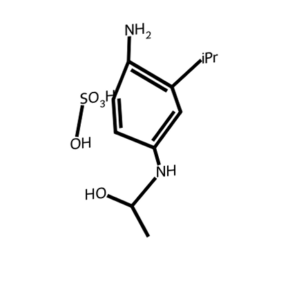 CC(O)Nc1ccc(N)c(C(C)C)c1.O=S(=O)(O)O